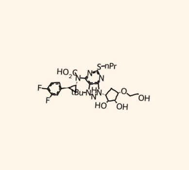 CCCSc1nc2c(c(N(C(=O)O)[C@@H]3C[C@H]3c3ccc(F)c(F)c3)n1)N(C(C)(C)C)NN2[C@@H]1C[C@H](OCCO)[C@@H](O)[C@H]1O